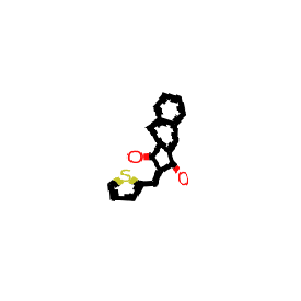 O=C1C(=Cc2cccs2)C(=O)c2cc3ccccc3cc21